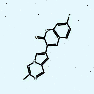 Cc1cn2cc(-c3cc4ccc(F)cc4oc3=O)cc2cn1